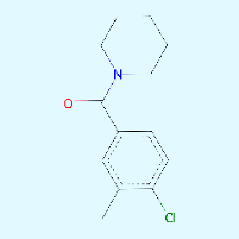 Cc1cc(C(=O)N2CCCCC2)ccc1Cl